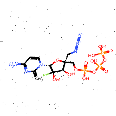 C=C1N=C(N)C=CN1[C@@H]1O[C@](CN=[N+]=[N-])(COP(=O)(O)OP(=O)(O)OP(=O)(O)O)[C@@H](O)[C@]1(O)F